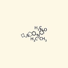 CC(C)N(c1ccc2c(c1)CN(CC1CCC1)CC2)c1ccc(=O)n(C)c1